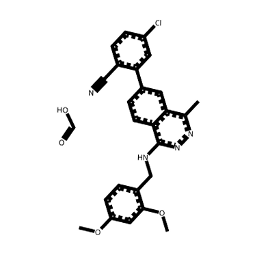 COc1ccc(CNc2nnc(C)c3cc(-c4cc(Cl)ccc4C#N)ccc23)c(OC)c1.O=CO